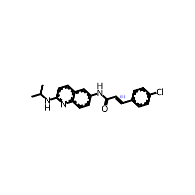 CC(C)Nc1ccc2cc(NC(=O)/C=C/c3ccc(Cl)cc3)ccc2n1